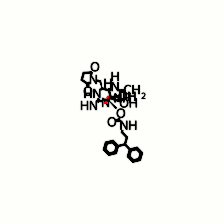 C=C1N[C@H]2[C@H](CN3C(=O)CCC3=O)NC(=N)N3C[C@H](OC(=O)NCCC(c4ccccc4)c4ccccc4)C(O)(O)[C@]23N1